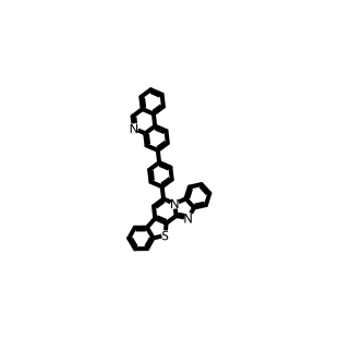 c1ccc2c(c1)cnc1cc(-c3ccc(-c4cc5c6ccccc6sc5c5nc6ccccc6n45)cc3)ccc12